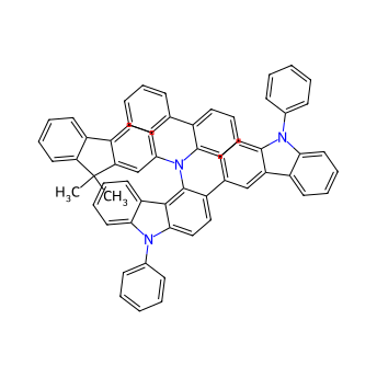 CC1(C)c2ccccc2-c2ccc(N(c3ccccc3-c3ccccc3)c3c(-c4ccc5c(c4)c4ccccc4n5-c4ccccc4)ccc4c3c3ccccc3n4-c3ccccc3)cc21